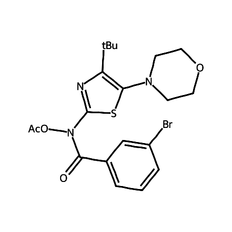 CC(=O)ON(C(=O)c1cccc(Br)c1)c1nc(C(C)(C)C)c(N2CCOCC2)s1